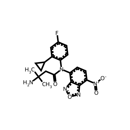 CC(C)(N)CC(=O)N(c1ccc(F)cc1C1CC1)c1ccc([N+](=O)[O-])c2nonc12